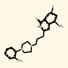 Cc1ccccc1N1CCN(CCCc2cc3c(N)cc(F)cc3c(=O)[nH]2)CC1